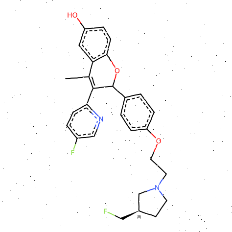 CC1=C(c2ccc(F)cn2)C(c2ccc(OCCN3CC[C@@H](CF)C3)cc2)Oc2ccc(O)cc21